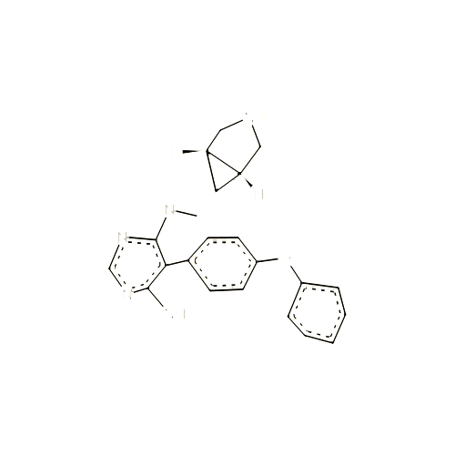 Nc1ncnc(NC[C@@H]2[C@@H]3CNC[C@@H]32)c1-c1ccc(Oc2ccccc2)cc1